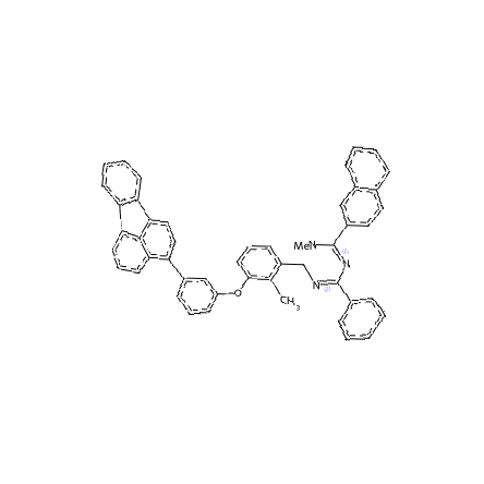 CN/C(=N\C(=N/Cc1cccc(Oc2cccc(-c3ccc4c5c(cccc35)-c3ccccc3-4)c2)c1C)c1ccccc1)c1ccc2ccccc2c1